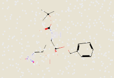 CC(C)(C)OC(=O)N[C@@H](C[C@@H](O)C[N+](=O)[O-])C(=O)OCc1ccccc1